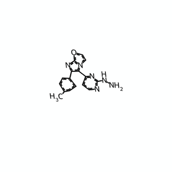 Cc1ccc(-c2nc3occn3c2-c2ccnc(NN)n2)cc1